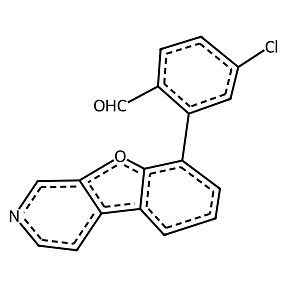 O=Cc1ccc(Cl)cc1-c1cccc2c1oc1cnccc12